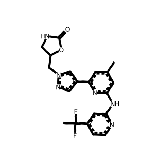 Cc1cc(Nc2cc(C(C)(F)F)ccn2)nc(-c2cnn(CC3CNC(=O)O3)c2)c1